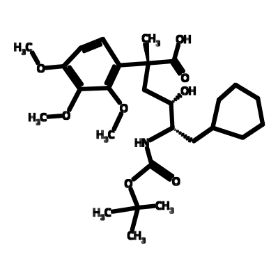 COc1ccc([C@@](C)(C[C@H](O)[C@H](CC2CCCCC2)NC(=O)OC(C)(C)C)C(=O)O)c(OC)c1OC